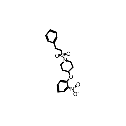 O=[N+]([O-])c1ccccc1OC1CCN(S(=O)(=O)C[CH]c2ccccc2)CC1